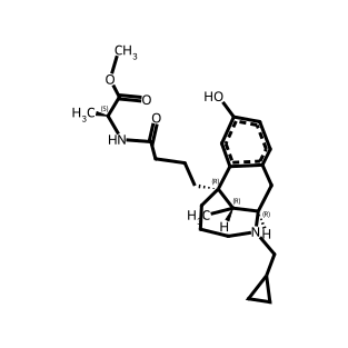 COC(=O)[C@H](C)NC(=O)CCC[C@]12CCCN(CC3CC3)[C@H](Cc3ccc(O)cc31)[C@@H]2C